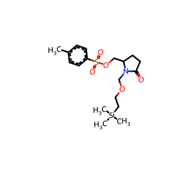 Cc1ccc(S(=O)(=O)OCC2CCC(=O)N2COCC[Si](C)(C)C)cc1